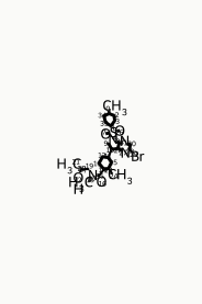 Cc1ccc(S(=O)(=O)n2cc(-c3ccc(C(=O)N(C)C[C@H](C)O)c(C)c3)c3nc(Br)cnc32)cc1